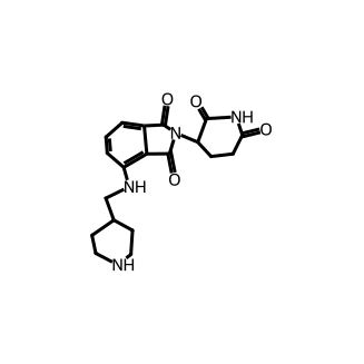 O=C1CCC(N2C(=O)c3cccc(NCC4CCNCC4)c3C2=O)C(=O)N1